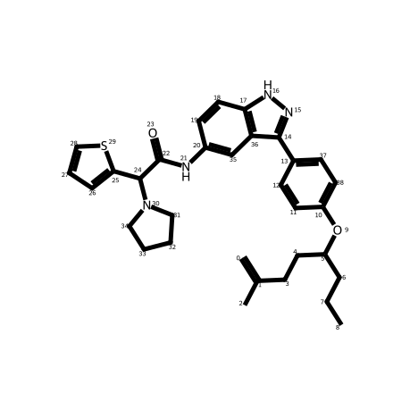 C=C(C)CCC(CCC)Oc1ccc(-c2n[nH]c3ccc(NC(=O)C(c4cccs4)N4CCCC4)cc23)cc1